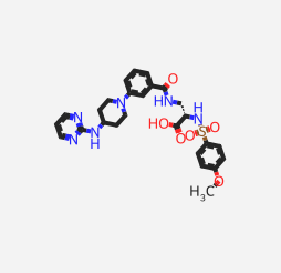 COc1ccc(S(=O)(=O)N[C@@H](CNC(=O)c2cccc(N3CCC(Nc4ncccn4)CC3)c2)C(=O)O)cc1